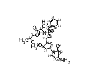 CC(C)COC(=O)[C@H](C)N[P@](=O)(OC[C@H]1S[C@@H](n2ccc(N)nc2=O)C[C@H]1O)Oc1ccccc1